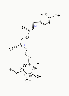 N#C/C(=C\CO[C@@H]1O[C@H](CO)[C@@H](O)[C@H](O)[C@H]1O)COC(=O)/C=C/c1ccc(O)cc1